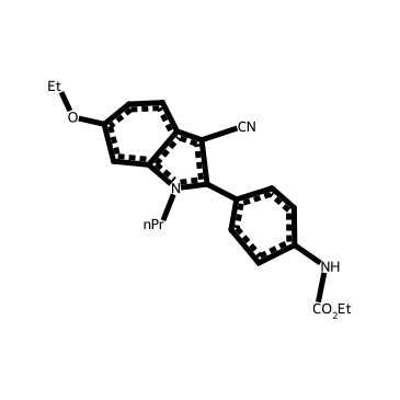 CCCn1c(-c2ccc(NC(=O)OCC)cc2)c(C#N)c2ccc(OCC)cc21